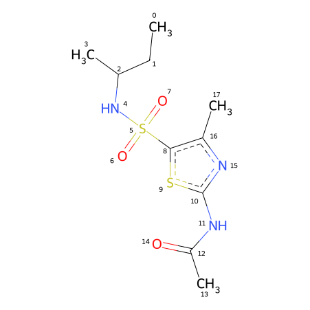 CCC(C)NS(=O)(=O)c1sc(NC(C)=O)nc1C